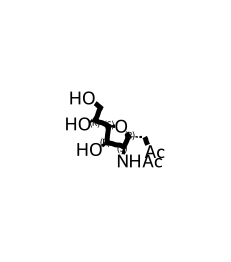 CC(=O)C[C@H]1O[C@H]([C@H](O)CO)[C@H](O)[C@@H]1NC(C)=O